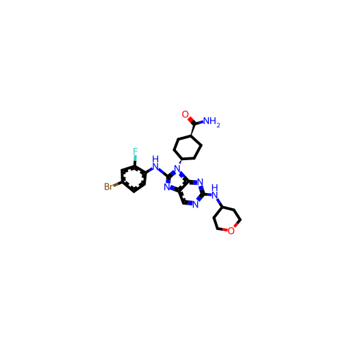 NC(=O)[C@H]1CC[C@H](n2c(Nc3ccc(Br)cc3F)nc3cnc(NC4CCOCC4)nc32)CC1